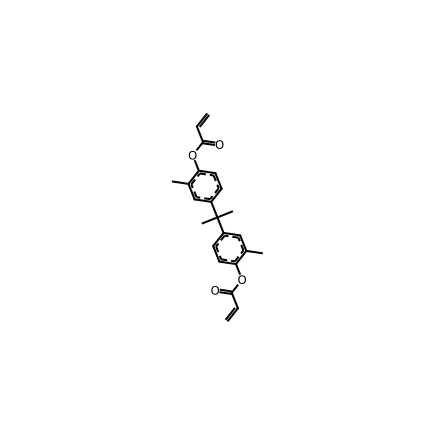 C=CC(=O)Oc1ccc(C(C)(C)c2ccc(OC(=O)C=C)c(C)c2)cc1C